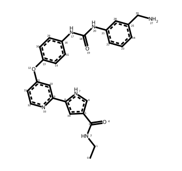 CCNC(=O)c1c[nH]c(-c2cc(Oc3ccc(NC(=O)Nc4cccc(CN)c4)cc3)ccn2)c1